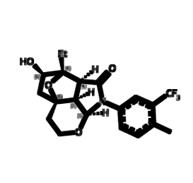 CC[C@]12O[C@@]3(CCO[C@H]4[C@@H]3[C@@H]1C(=O)N4c1ccc(C)c(C(F)(F)F)c1)C[C@H]2O